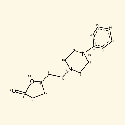 O=C1CCC(CCN2CCN(c3ccccc3)CC2)O1